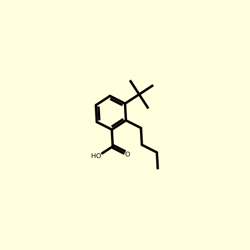 CCCCc1c(C(=O)O)cccc1C(C)(C)C